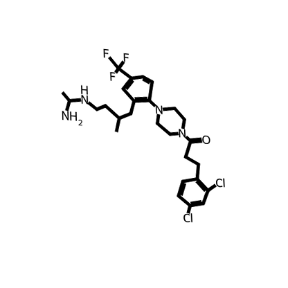 CC(CCNC(C)N)Cc1cc(C(F)(F)F)ccc1N1CCN(C(=O)CCc2ccc(Cl)cc2Cl)CC1